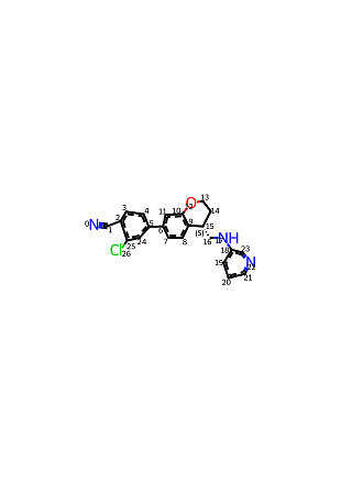 N#Cc1ccc(-c2ccc3c(c2)OCC[C@@H]3CNc2cccnc2)cc1Cl